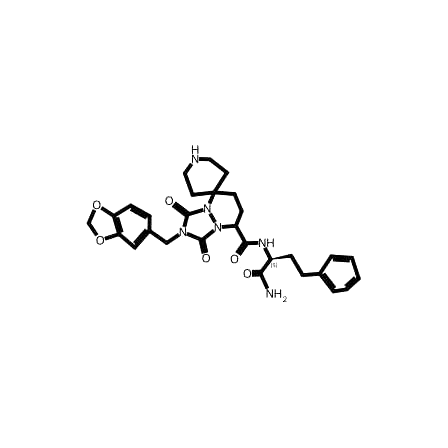 NC(=O)[C@H](CCc1ccccc1)NC(=O)C1CCC2(CCNCC2)n2c(=O)n(Cc3ccc4c(c3)OCO4)c(=O)n21